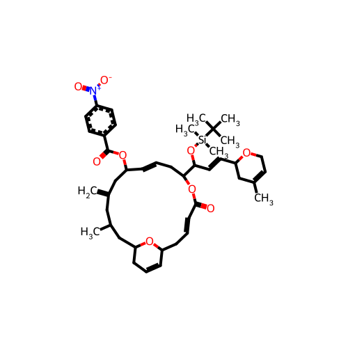 C=C1CC(C)CC2CC=CC(C/C=C/C(=O)OC(C(C=CC3CC(C)=CCO3)O[Si](C)(C)C(C)(C)C)C/C=C/C(OC(=O)c3ccc([N+](=O)[O-])cc3)C1)O2